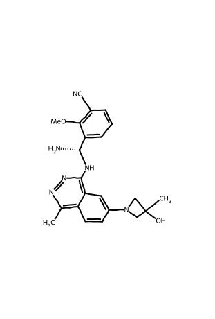 COc1c(C#N)cccc1[C@@H](N)Nc1nnc(C)c2ccc(N3CC(C)(O)C3)cc12